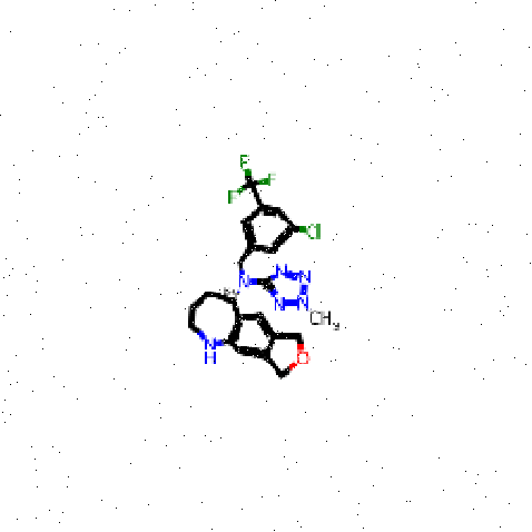 Cn1nnc(N(Cc2cc(Cl)cc(C(F)(F)F)c2)[C@H]2CCCNc3cc4c(cc32)COC4)n1